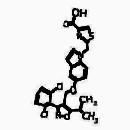 CC(C)c1onc(-c2c(Cl)cccc2Cl)c1COc1ccc2c(ccn2Cc2nc(C(=O)O)cs2)c1